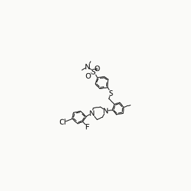 Cc1ccc(N2CCN(c3ccc(Cl)cc3F)CC2)c(CSc2ccc(S(=O)(=O)N(C)C)cc2)c1